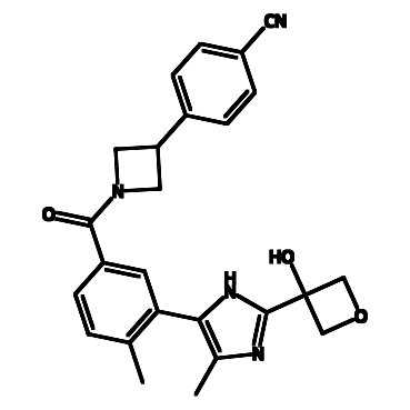 Cc1ccc(C(=O)N2CC(c3ccc(C#N)cc3)C2)cc1-c1[nH]c(C2(O)COC2)nc1C